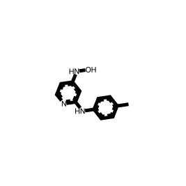 Cc1ccc(Nc2cc(NO)ccn2)cc1